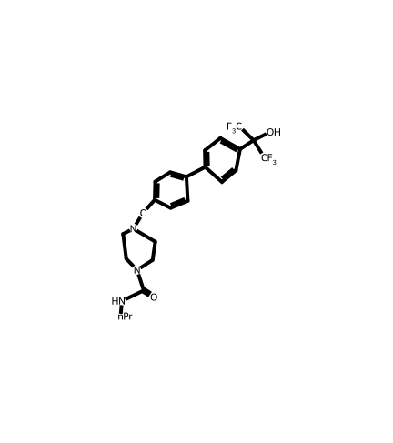 CCCNC(=O)N1CCN(Cc2ccc(-c3ccc(C(O)(C(F)(F)F)C(F)(F)F)cc3)cc2)CC1